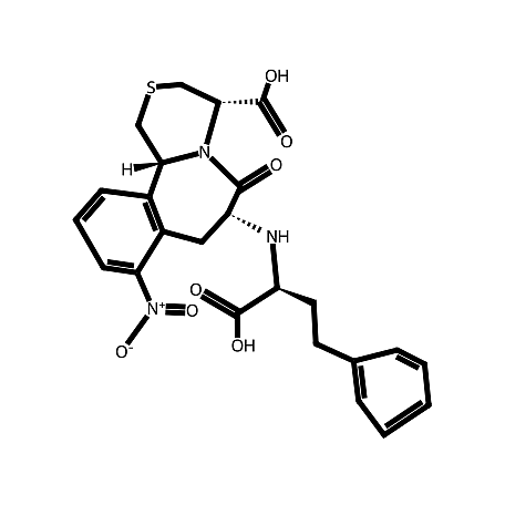 O=C(O)[C@H](CCc1ccccc1)N[C@@H]1Cc2c(cccc2[N+](=O)[O-])[C@@H]2CSC[C@H](C(=O)O)N2C1=O